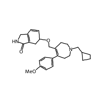 COc1ccc(C2=C(COC3C=CC4=C(C3)C(=O)NC4)CCN(CC3CCC3)CC2)cc1